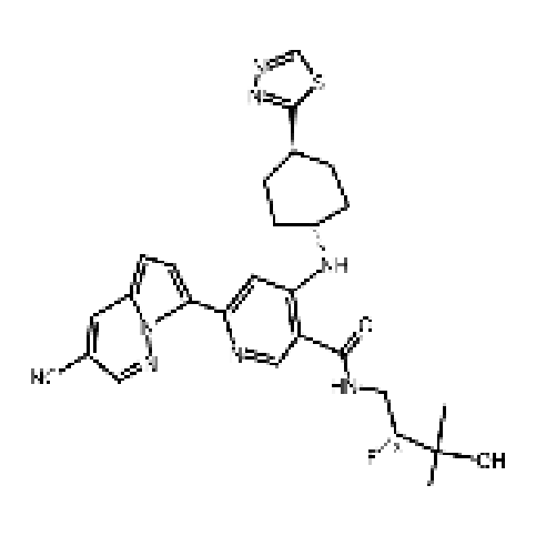 CC(C)(O)[C@H](F)CNC(=O)c1cnc(-c2ccc3cc(C#N)cnn23)cc1N[C@H]1CC[C@H](c2nncs2)CC1